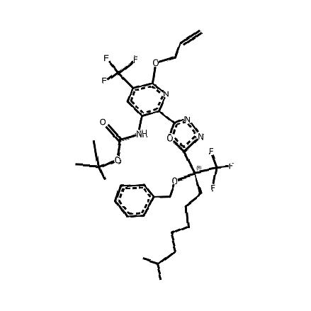 C=CCOc1nc(-c2nnc([C@@](CCCCCC(C)C)(OCc3ccccc3)C(F)(F)F)o2)c(NC(=O)OC(C)(C)C)cc1C(F)(F)F